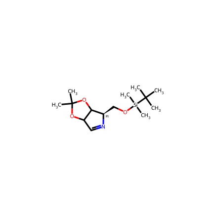 CC1(C)OC2C=N[C@H](CO[Si](C)(C)C(C)(C)C)C2O1